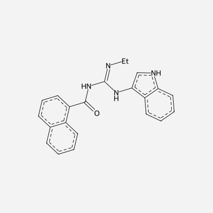 CCN=C(NC(=O)c1cccc2ccccc12)Nc1c[nH]c2ccccc12